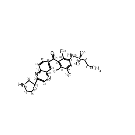 CCCS(=O)(=O)Nc1cc(F)c(F)c(C(=O)c2ccc3nc(C4CNCCO4)cnc3c2)c1F